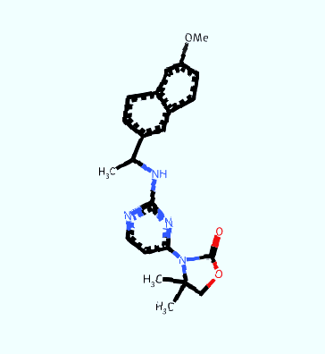 COc1ccc2cc(C(C)Nc3nccc(N4C(=O)OCC4(C)C)n3)ccc2c1